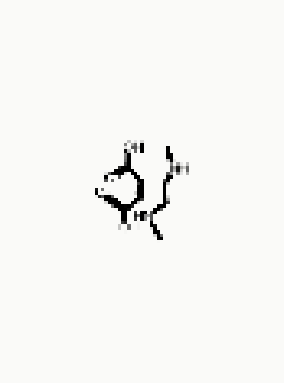 CNCCNC.O=C(O)/C=C\C(=O)O